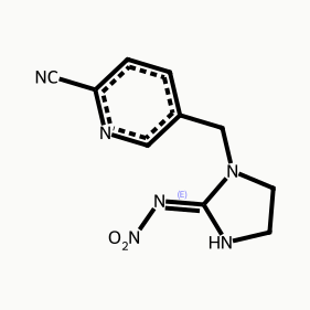 N#Cc1ccc(CN2CCN/C2=N\[N+](=O)[O-])cn1